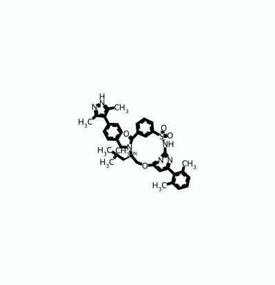 Cc1cccc(C)c1-c1cc2nc(n1)NS(=O)(=O)c1cccc(c1)C(=O)N(Cc1ccc(-c3c(C)n[nH]c3C)cc1)[C@H](CC(C)(C)C)CO2